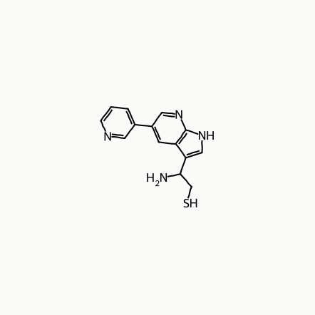 NC(CS)c1c[nH]c2ncc(-c3cccnc3)cc12